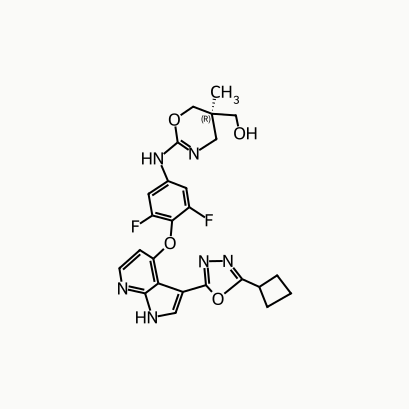 C[C@]1(CO)CN=C(Nc2cc(F)c(Oc3ccnc4[nH]cc(-c5nnc(C6CCC6)o5)c34)c(F)c2)OC1